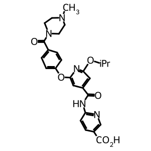 CC(C)Oc1cc(C(=O)Nc2ccc(C(=O)O)cn2)cc(Oc2ccc(C(=O)N3CCN(C)CC3)cc2)n1